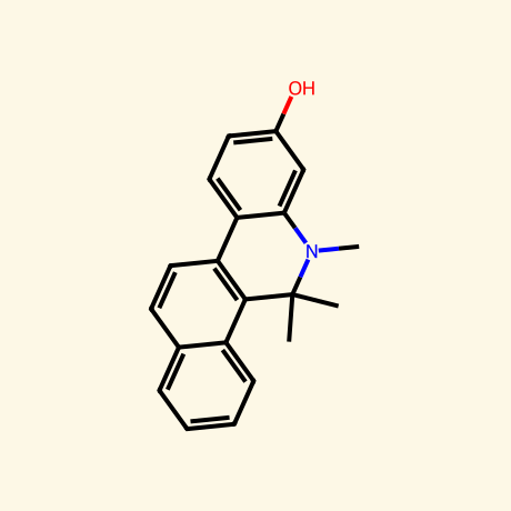 CN1c2cc(O)ccc2-c2ccc3ccccc3c2C1(C)C